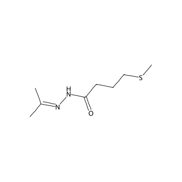 CSCCCC(=O)NN=C(C)C